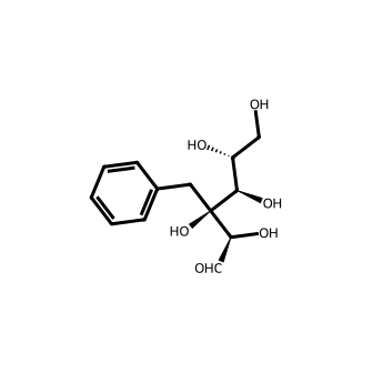 O=C[C@H](O)[C@](O)(Cc1ccccc1)[C@H](O)[C@H](O)CO